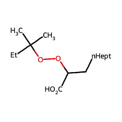 CCCCCCCCC(OOC(C)(C)CC)C(=O)O